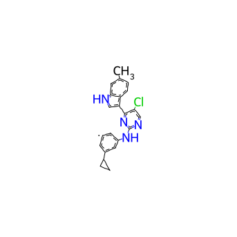 Cc1ccc2c(-c3nc(Nc4c[c]cc(C5CC5)c4)ncc3Cl)c[nH]c2c1